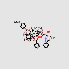 COc1ccc(C2O[C@H]3C[C@H]4OC[C@@]4(OC(C)=O)[C@H]4[C@H](OC(=O)c5ccccc5)[C@]5(O)C[C@H](OC(=O)[C@H](O)[C@H](CC(C)C)NC(=O)c6ccccc6)C(C)=C([C@H](OC(C)=O)[C@H](O2)[C@]34C)C5(C)C)cc1